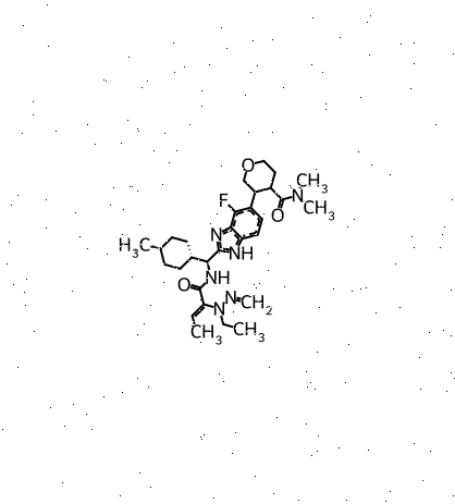 C=NN(CC)/C(=C\C)C(=O)N[C@H](c1nc2c(F)c(C3COCCC3C(=O)N(C)C)ccc2[nH]1)[C@H]1CC[C@H](C)CC1